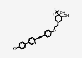 O[C@H]1CN(CCOc2ccc(C#Cc3ccc(-c4ccc(Cl)cc4)cn3)cc2)CC[C@]1(O)C(F)(F)F